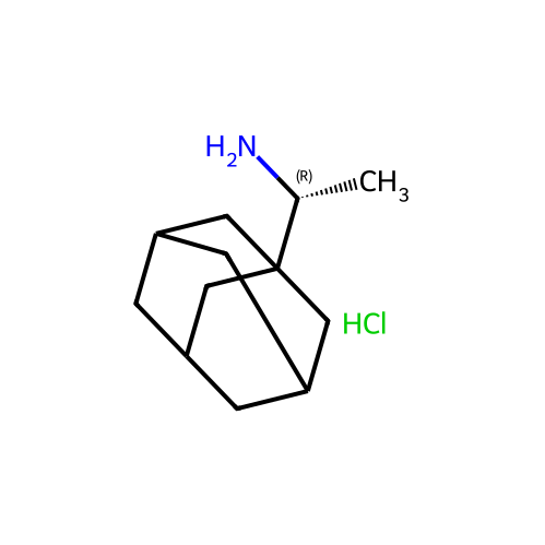 C[C@@H](N)C12CC3CC(CC(C3)C1)C2.Cl